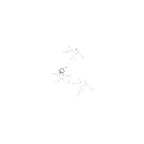 CC(=O)[O-].CCCCC(CC)[CH2][Sn+]([CH2]C(CC)CCCC)[CH2]C(CC)CCCC.CCCCC(CC)[CH2][Sn+]([CH2]C(CC)CCCC)[CH2]C(CC)CCCC.CCCCC(CC)[CH2][Sn]([CH2]C(CC)CCCC)([CH2]C(CC)CCCC)[c]1ccccc1.[Cl-]